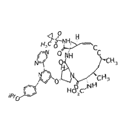 CC(C)Oc1ccc(-c2cc(O[C@@H]3C[C@H]4C(=O)N[C@]5(C(=O)NS(=O)(=O)C6(C)CC6)C[C@H]5C=CCC[C@@H](C)C[C@@H](C)[C@H](NC(=O)O)C(=O)N4C3)cc(-c3cnccn3)n2)cc1